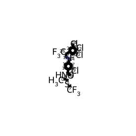 CC(CSCC(F)(F)F)NC(=O)c1ccc(/C(F)=C/C(c2cc(Cl)c(Cl)c(Cl)c2)C(F)(F)F)cc1Cl